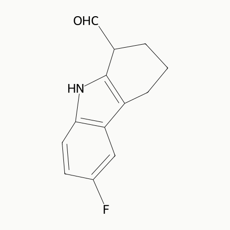 O=CC1CCCc2c1[nH]c1ccc(F)cc21